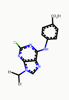 CCOC(=O)c1ccc(Nc2nc(Cl)nc3c2ncn3C(CC)CC)cc1